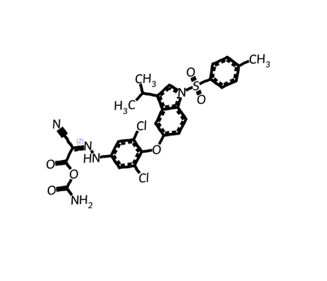 Cc1ccc(S(=O)(=O)n2cc(C(C)C)c3cc(Oc4c(Cl)cc(N/N=C(/C#N)C(=O)OC(N)=O)cc4Cl)ccc32)cc1